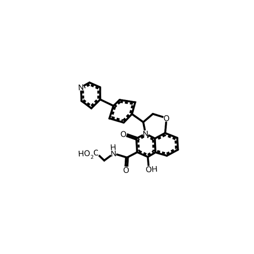 O=C(O)CNC(=O)c1c(O)c2cccc3c2n(c1=O)C(c1ccc(-c2ccncc2)cc1)CO3